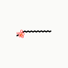 CCCCCCCCCCCCCCCCCC(=O)OP(=O)(O)OCC